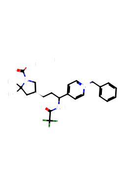 Br.CC1(C)C[C@H](CCC(NC(=O)C(F)(F)F)c2cc[n+](Cc3ccccc3)cc2)CN1C(=O)O